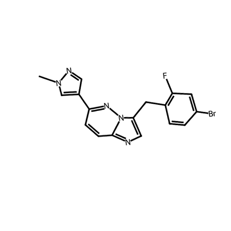 Cn1cc(-c2ccc3ncc(Cc4ccc(Br)cc4F)n3n2)cn1